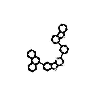 c1cc(-c2cnc3oc4ccc(-c5cc6ccccc6c6ccccc56)cc4c3n2)cc(-c2cccc3c2sc2ccccc23)c1